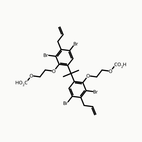 C=CCc1c(Br)cc(C(C)(C)c2cc(Br)c(CC=C)c(Br)c2OCCOC(=O)O)c(OCCOC(=O)O)c1Br